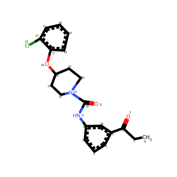 CCC(=O)c1cccc(NC(=O)N2CCC(Oc3ccccc3Cl)CC2)c1